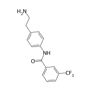 NCCc1ccc(NC(=O)c2cccc(C(F)(F)F)c2)cc1